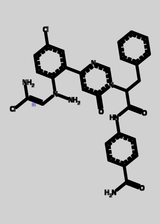 NC(=O)c1ccc(NC(=O)C(Cc2ccccc2)n2cnc(-c3cc(Cl)ccc3N(N)/C=C(\N)Cl)cc2=O)cc1